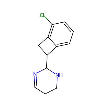 Clc1cccc2c1CC2C1N=CCCN1